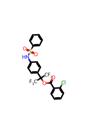 O=C(OC(c1ccc(NS(=O)(=O)c2ccccc2)cc1)(C(F)(F)F)C(F)(F)F)c1ccccc1Cl